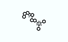 c1ccc(-c2nc(-c3ccccc3)nc(-c3ccc4c(-c5cccc6c5sc5c6ccc6ccc7ccccc7c65)cccc4c3)n2)cc1